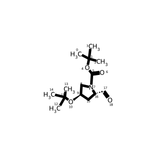 CC(C)(C)OC(=O)N1C[C@H](OC(C)(C)C)C[C@H]1C=O